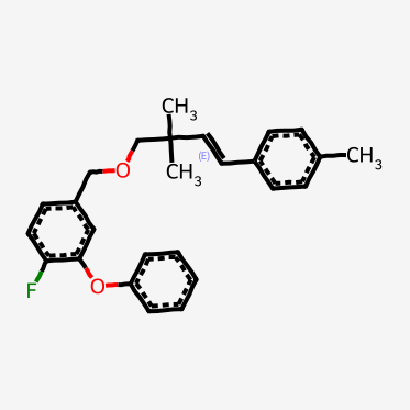 Cc1ccc(/C=C/C(C)(C)COCc2ccc(F)c(Oc3ccccc3)c2)cc1